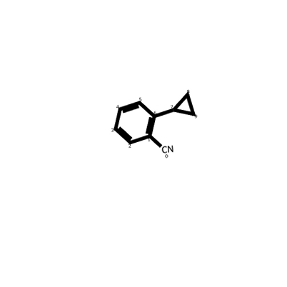 N#Cc1[c]cccc1C1CC1